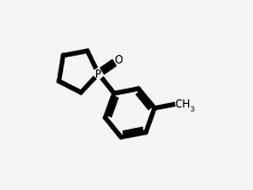 Cc1cccc(P2(=O)CCCC2)c1